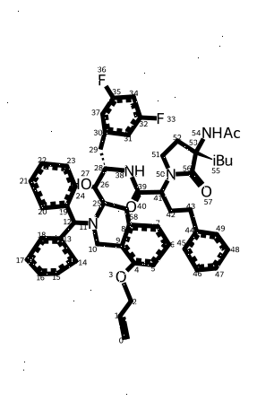 C=CCOc1cccc2c1CN(C(c1ccccc1)c1ccccc1)C([C@@H](O)[C@H](Cc1cc(F)cc(F)c1)NC(=O)C(CCc1ccccc1)N1CCC(NC(C)=O)([C@H](C)CC)C1=O)C2